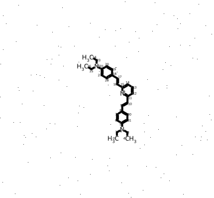 CCN(CC)c1ccc(C=Cc2cccc(C=Cc3ccc(N(CC)CC)cc3)n2)cc1